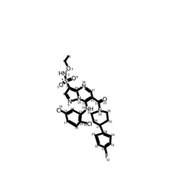 CCONS(=O)(=O)c1cnn2c(Nc3cc(Cl)ccc3Cl)c(C(=O)N3CCC(c4ccc(F)cc4)CC3)cnc12